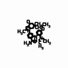 CCOc1ccc(Nc2cc(-n3c(C)cc4c3CC(C)(C)CC4=O)ccc2C(N)=O)c(N(CC)CC)c1